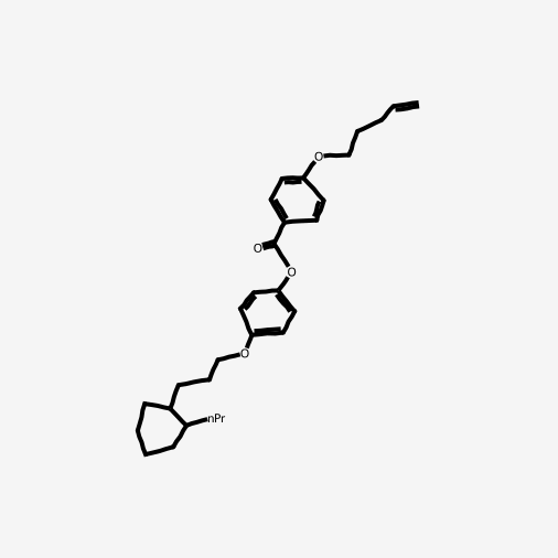 C=CCCCOc1ccc(C(=O)Oc2ccc(OCCCC3CCCCC3CCC)cc2)cc1